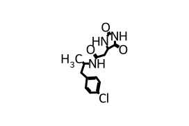 CC(Cc1ccc(Cl)cc1)NC(=O)CC1NC(=O)NC1=O